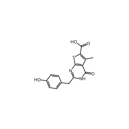 Cc1c(C(=O)O)sc2nc(Cc3ccc(O)cc3)[nH]c(=O)c12